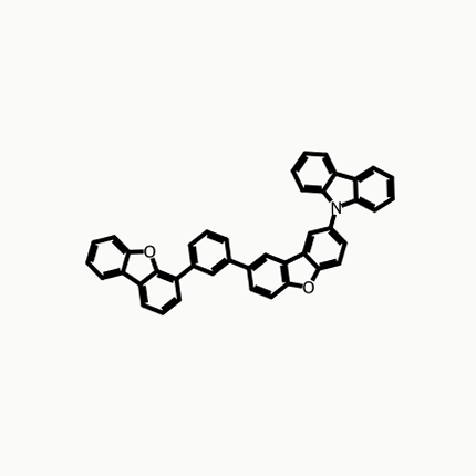 c1cc(-c2ccc3oc4ccc(-n5c6ccccc6c6ccccc65)cc4c3c2)cc(-c2cccc3c2oc2ccccc23)c1